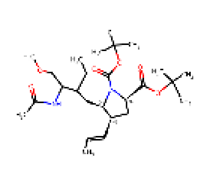 CC=C[C@@H]1C[C@H](C(=O)OC(C)(C)C)N(C(=O)OC(C)(C)C)[C@@H]1CC(CC)C(COC)NC(C)=O